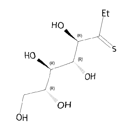 CCC(=S)[C@H](O)[C@H](O)[C@H](O)[C@H](O)CO